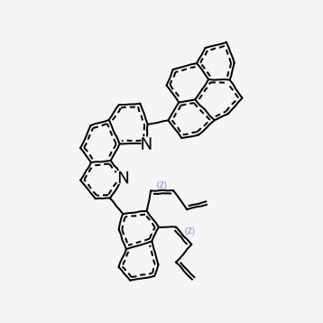 C=C/C=C\c1c(-c2ccc3ccc4ccc(-c5ccc6ccc7cccc8ccc5c6c78)nc4c3n2)cc2ccccc2c1/C=C\C=C